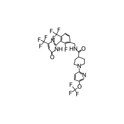 O=C(NCc1ccc(C(F)(F)F)c(-c2nc(C(F)(F)F)cc(=O)[nH]2)c1F)C1CCN(c2ccc(OC(F)(F)F)cn2)CC1